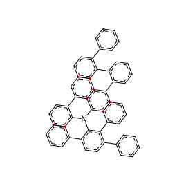 c1ccc(-c2ccccc2-c2ccccc2-c2ccc(N(c3ccccc3-c3ccccc3)c3c(-c4ccccc4)ccc(-c4ccccc4)c3-c3ccccc3)cc2)cc1